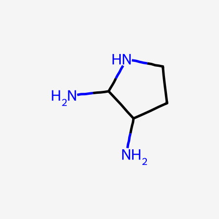 NC1CCNC1N